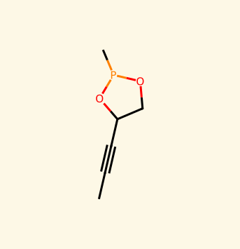 CC#CC1COP(C)O1